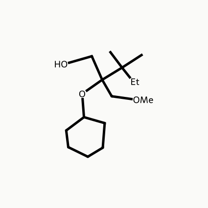 CCC(C)(C)C(CO)(COC)OC1CCCCC1